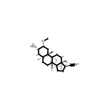 CO[C@@H]1C[C@@]2(C)[C@@](C)(CC[C@@H]3[C@]2(C)CC[C@]2(C)[C@@H](C#N)CC[C@@]32C)C[C@@H]1O